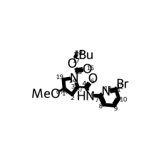 CO[C@@H]1C[C@H](C(=O)Nc2cccc(Br)n2)N(C(=O)OC(C)(C)C)C1